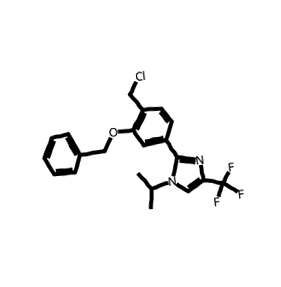 CC(C)n1cc(C(F)(F)F)nc1-c1ccc(CCl)c(OCc2ccccc2)c1